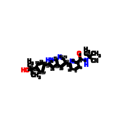 CC(C)(C#N)NC(=O)c1cccc(-c2cnc3[nH]c(-c4ccc(C(C)(C)O)cc4)cc3c2)n1